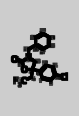 O=C1OC(CC(F)(F)F)(c2ccc(Cl)cc2)CN1Cc1ccccc1